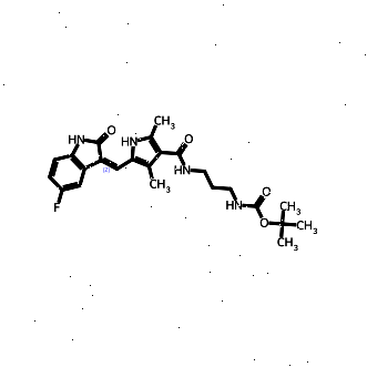 Cc1[nH]c(/C=C2\C(=O)Nc3ccc(F)cc32)c(C)c1C(=O)NCCCNC(=O)OC(C)(C)C